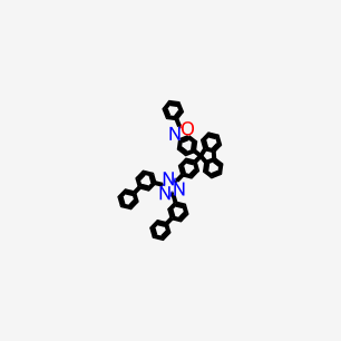 c1ccc(-c2cccc(-c3nc(-c4ccc(C5(c6ccc7nc(-c8ccccc8)oc7c6)c6ccccc6-c6ccccc65)cc4)nc(-c4cccc(-c5ccccc5)c4)n3)c2)cc1